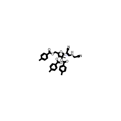 Cc1ccc(C(=O)OCC2O[C@H](/C(C#N)=C/NCC#N)[C@](C)(OC(=O)c3ccc(C)cc3)[C@@H]2OC(=O)c2ccc(C)cc2)cc1